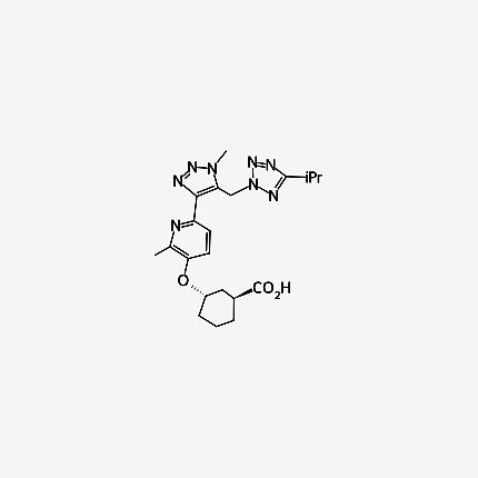 Cc1nc(-c2nnn(C)c2Cn2nnc(C(C)C)n2)ccc1O[C@H]1CCC[C@H](C(=O)O)C1